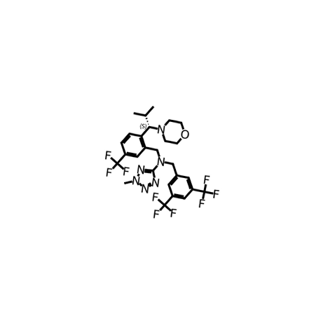 CC(C)[C@@H](c1ccc(C(F)(F)F)cc1CN(Cc1cc(C(F)(F)F)cc(C(F)(F)F)c1)c1nnn(C)n1)N1CCOCC1